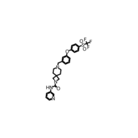 O=C(Nc1cccnc1)N1CC2(CCN(Cc3cccc(Oc4ccc(S(=O)(=O)C(F)(F)F)cc4)c3)CC2)C1